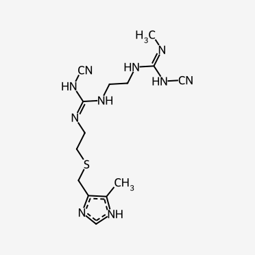 C/N=C(/NC#N)NCCN/C(=N\CCSCc1nc[nH]c1C)NC#N